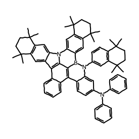 CC1(C)CCC(C)(C)c2cc(N3B4c5cc6c(cc5-n5c7cc8c(cc7c7c9ccccc9c(c4c75)-c4ccc(N(c5ccccc5)c5ccccc5)cc43)C(C)(C)CCC8(C)C)C(C)(C)CCC6(C)C)ccc21